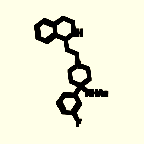 CC(=O)NC1(c2cccc(F)c2)CCN(CCC2NCCc3ccccc32)CC1